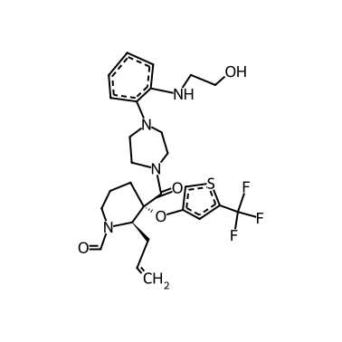 C=CC[C@H]1N(C=O)CCC[C@@]1(Oc1csc(C(F)(F)F)c1)C(=O)N1CCN(c2ccccc2NCCO)CC1